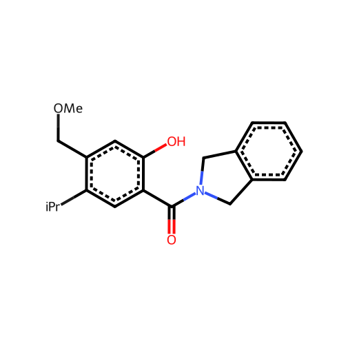 COCc1cc(O)c(C(=O)N2Cc3ccccc3C2)cc1C(C)C